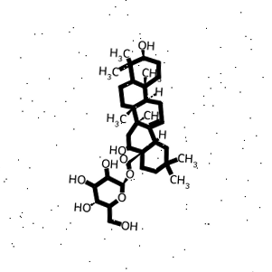 CC1(C)CC[C@]2(C(=O)O[C@H]3OC(CO)[C@H](O)C(O)C3O)C(O)C[C@]3(C)C(=CC[C@@H]4[C@@]5(C)CC[C@H](O)C(C)(C)C5CC[C@]43C)[C@@H]2C1